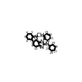 Cn1c2ccccc2c2ccc3nc4n(c3c21)C1=CC=CCC1N4c1ccccc1